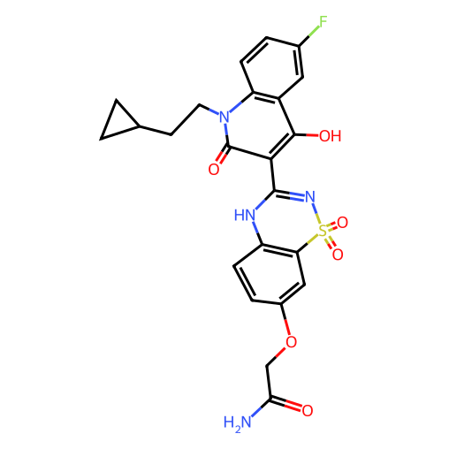 NC(=O)COc1ccc2c(c1)S(=O)(=O)N=C(c1c(O)c3cc(F)ccc3n(CCC3CC3)c1=O)N2